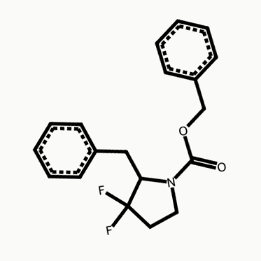 O=C(OCc1ccccc1)N1CCC(F)(F)C1Cc1ccccc1